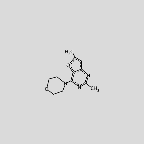 Cc1nc(N2CCOCC2)c2oc(C)cc2n1